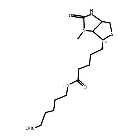 CN1C(=O)NC2CS[C@@H](CCCCC(=O)NCCCCCC=O)C21